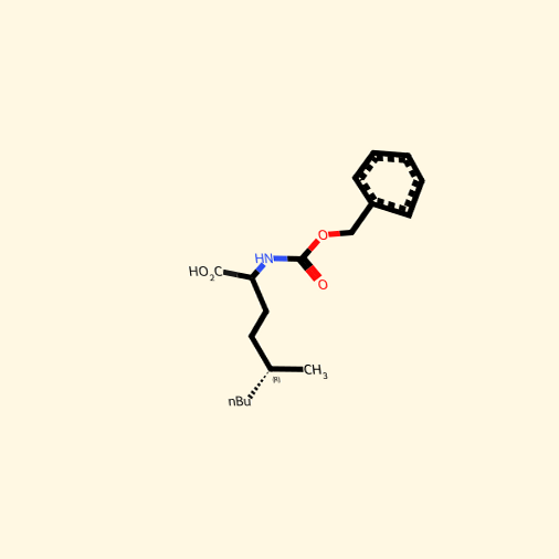 CCCC[C@@H](C)CCC(NC(=O)OCc1ccccc1)C(=O)O